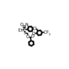 CCP(=O)(SCOC(=O)c1ccccc1)c1cc(Oc2ccc(C(F)(F)F)cc2Cl)ccc1[N+](=O)[O-]